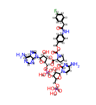 Nc1ccn([C@@H]2OC(COP(=O)(O)O)[C@@H](OP(=O)(O)OC[C@H]3O[C@@H](n4cnc5c(N)ncnc54)[C@H](O)[C@@H]3OC(=O)[C@@H]3CCCN3C(=O)OCc3ccc(NC(=O)Cc4ccc(F)cc4)cc3)[C@H]2O)c(=O)n1